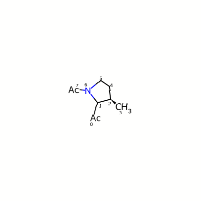 CC(=O)C1[C@H](C)CCN1C(C)=O